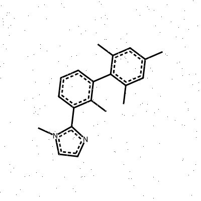 Cc1cc(C)c(-c2cccc(-c3nccn3C)c2C)c(C)c1